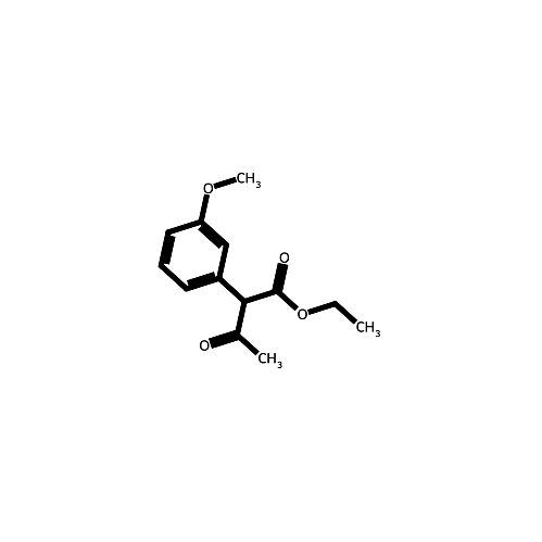 CCOC(=O)C(C(C)=O)c1cccc(OC)c1